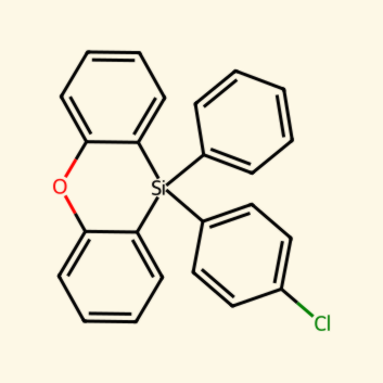 Clc1ccc([Si]2(c3ccccc3)c3ccccc3Oc3ccccc32)cc1